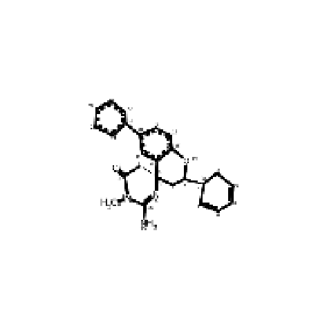 CN1C(=O)C[C@]2(CC([C@@H]3C=CC=CC3)Oc3ccc(-c4ccccc4)cc32)N=C1N